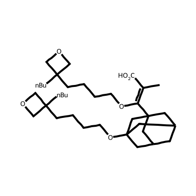 CCCCC1(CCCCOC(=C(C)C(=O)O)C23CC4CC(CC(OCCCCC5(CCCC)COC5)(C4)C2)C3)COC1